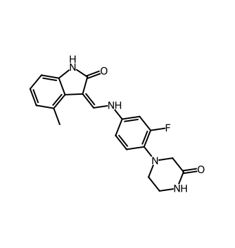 Cc1cccc2c1C(=CNc1ccc(N3CCNC(=O)C3)c(F)c1)C(=O)N2